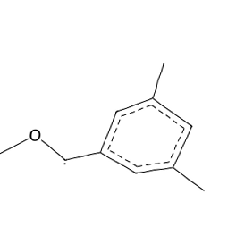 CO[CH]c1cc(C)cc(C)c1